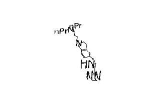 CCCN(CCC)CCCCN1CCc2cc(CNCc3nccn3C)ccc2C1